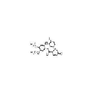 COc1cc(Cl)c(CC(=O)N2C=CC(=O)C[C@H]2c2ccc(F)cc2)cc1OC